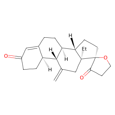 C=C1C[C@@]2(CC)[C@@H](CC[C@@]23OCCC3=O)[C@@H]2CCC3=CC(=O)CC[C@@H]3[C@@H]12